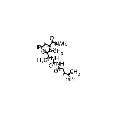 C=C(CCC(=O)NC(=O)N[C@H](C)C(=O)N(C)[C@@H](CC(C)C)C(=O)NC)C(C)C